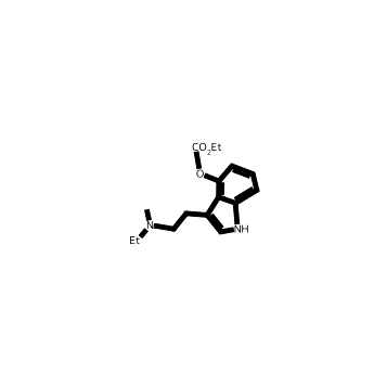 CCOC(=O)Oc1cccc2[nH]cc(CCN(C)CC)c12